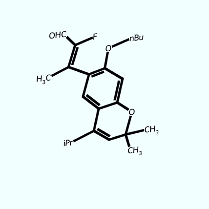 CCCCOc1cc2c(cc1C(C)=C(F)C=O)C(C(C)C)=CC(C)(C)O2